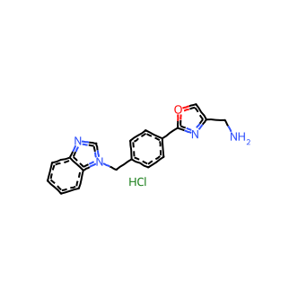 Cl.NCc1coc(-c2ccc(Cn3cnc4ccccc43)cc2)n1